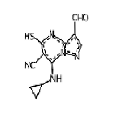 N#Cc1c(S)nc2c(C=O)cnn2c1NC1CC1